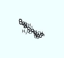 Cc1c(-c2cnc(-c3ccc4c(c3)C(C)(C)c3cc(C5CC=C(c6cc7ccc8ccccc8c7oc6=O)N5C)ccc3-4)cn2)c(=O)oc2ccc3ccccc3c12